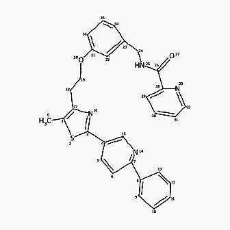 Cc1sc(-c2ccc(-c3ccccc3)nc2)nc1CCOc1[c]c(CNC(=O)c2ccccn2)ccc1